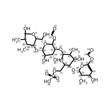 CC1C(O)OC(CO)[C@@H](O[C@@H]2OC(OC=O)[C@@H](O[C@@H]3OC(COS(=O)(=O)O)[C@@H](O[C@@H]4OC(OC=O)=CC(O)[C@@H]4C)[C@H](O)C3C)[C@H](O)C2O)[C@@H]1C